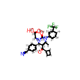 CC1=C(C(=O)C2CCC2)[C@@H](c2ccc(C#N)cc2)N(CC(=O)O)C(=O)N1c1cccc(C(F)(F)F)c1